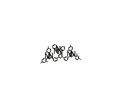 Cc1ccc(-c2cc(-c3cccc(-c4cc(-c5cccc(-c6cc(-c7ccc(C)cc7C)nc(-c7ccc(C)cc7C)n6)c5)cc(-n5c6ccccc6n6c7ccccc7nc56)c4)c3)nc(-c3ccc(C)cc3C)n2)c(C)c1